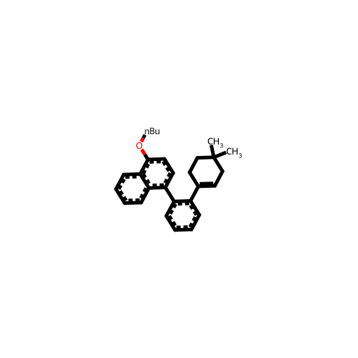 CCCCOc1ccc(-c2ccccc2C2=CCC(C)(C)CC2)c2ccccc12